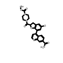 CC(C)(C)OC(=O)N1CCN(C(=O)C2Cc3cc(Cl)cc(-c4ccnc5cc(C(N)=O)ccc45)c3O2)CC1